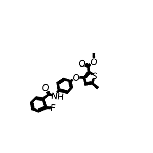 COC(=O)c1sc(C)cc1Oc1ccc(NC(=O)c2ccccc2F)cc1